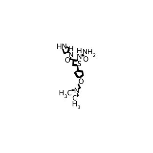 CCN(CC)CCOc1ccc(-c2cc(C(=O)NC3CCNC3)c(NC(N)=O)s2)cc1